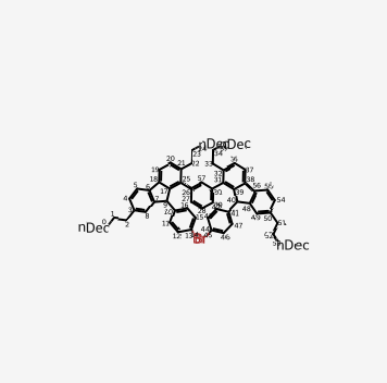 CCCCCCCCCCCCc1ccc2c(c1)C(c1ccc(Br)cc1)c1c-2ccc(CCCCCCCCCCCC)c1-c1cccc(-c2c(CCCCCCCCCCCC)ccc3c2C(c2ccc(Br)cc2)c2cc(CCCCCCCCCCCC)ccc2-3)c1